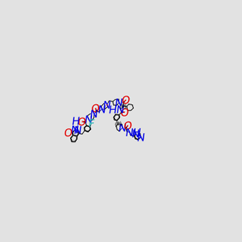 O=C(N[C@@H](C(=O)N1CCC(CN2CCN(CC(=O)N3CCN(C(=O)c4cc(Cc5n[nH]c(=O)c6ccccc56)ccc4F)CC3)CC2)CC1)C1CCCCC1)c1cccc([C@H]2CCCN(C(=O)CNCc3ccncn3)C2)c1